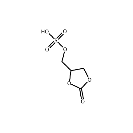 O=C1OCC(COS(=O)(=O)O)O1